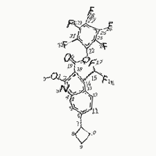 COc1nc2cc(C3CCC3)ccc2c(C(F)F)c1C(=O)Oc1c(F)c(F)c(F)c(F)c1F